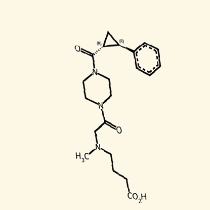 CN(CCCC(=O)O)CC(=O)N1CCN(C(=O)[C@@H]2C[C@H]2c2ccccc2)CC1